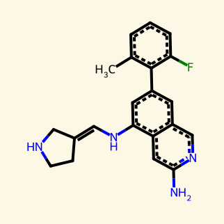 Cc1cccc(F)c1-c1cc(N/C=C2\CCNC2)c2cc(N)ncc2c1